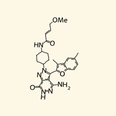 COC/C=C/C(=O)NC1CCC(n2nc3c(=O)[nH]nc(N)c3c2-c2oc3ccc(C)cc3c2C)CC1